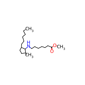 CCCCCCC1CCC(C)C1NCCCCCCC(=O)OC